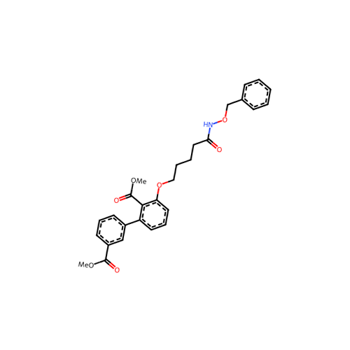 COC(=O)c1cccc(-c2cccc(OCCCCC(=O)NOCc3ccccc3)c2C(=O)OC)c1